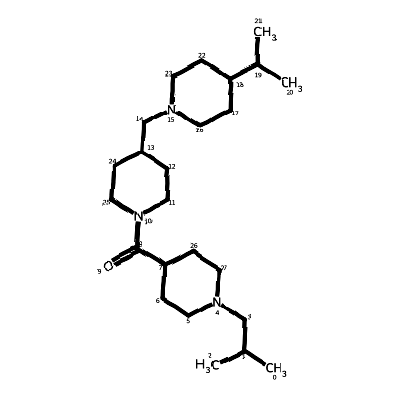 CC(C)CN1CCC(C(=O)N2CCC(CN3CCC(C(C)C)CC3)CC2)CC1